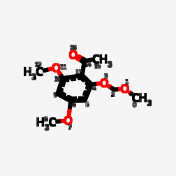 COCOc1cc(OC)cc(OC)c1C(C)=O